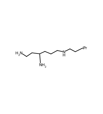 CC(C)CCNCCCC(N)CCN